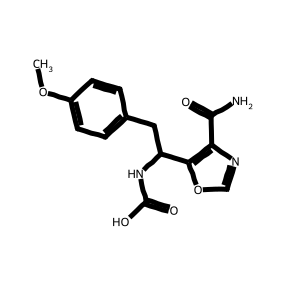 COc1ccc(CC(NC(=O)O)c2ocnc2C(N)=O)cc1